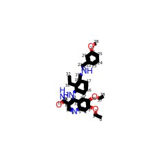 CCOc1cc2ncc(C(N)=O)c(Nc3cccc(CNCc4cccc(OC)c4)c3CC)c2cc1OCC